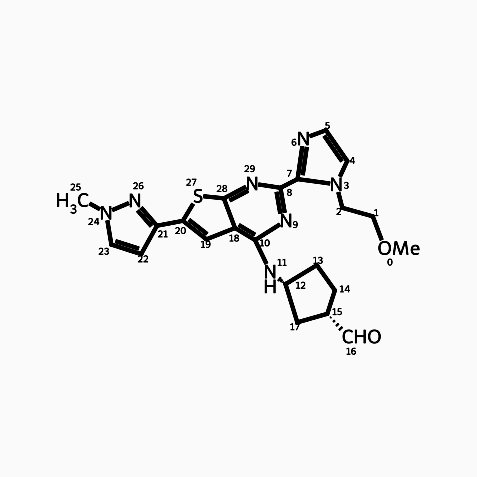 COCCn1ccnc1-c1nc(N[C@@H]2CC[C@H](C=O)C2)c2cc(-c3ccn(C)n3)sc2n1